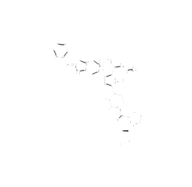 CC(C)(C)OC(=O)N1CCCC1C(=O)N1CCC(c2cc(-c3ccc4cn(Cc5ccccc5)nc4c3)c(/C(N)=N\C=N)[nH]2)CC1